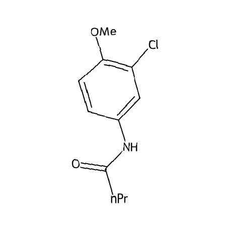 CCCC(=O)Nc1ccc(OC)c(Cl)c1